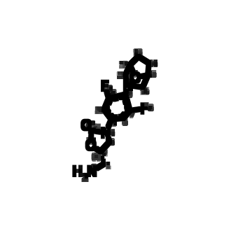 NC[C@H]1CN(c2cc(F)c(N3CC4CCC(C3)O4)c(F)c2)C(=O)O1